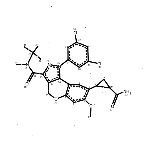 COc1cc2c(cc1C1CC1C(N)=O)-c1c(c(C(=O)N(C)C(C)(C)C)nn1-c1cc(Cl)cc(Cl)c1)CO2